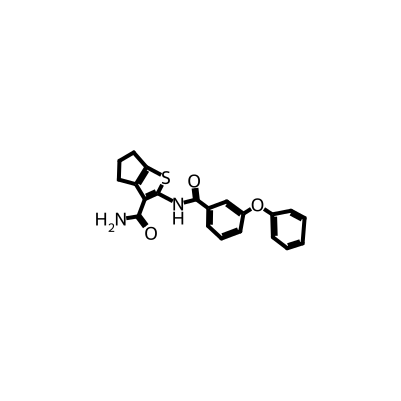 NC(=O)c1c(NC(=O)c2cccc(Oc3ccccc3)c2)sc2c1CCC2